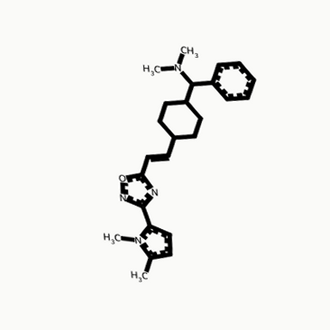 Cc1ccc(-c2noc(C=CC3CCC(C(c4ccccc4)N(C)C)CC3)n2)n1C